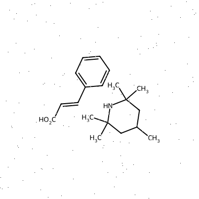 CC1CC(C)(C)NC(C)(C)C1.O=C(O)C=Cc1ccccc1